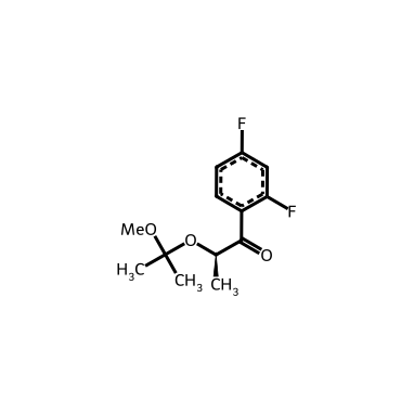 COC(C)(C)O[C@H](C)C(=O)c1ccc(F)cc1F